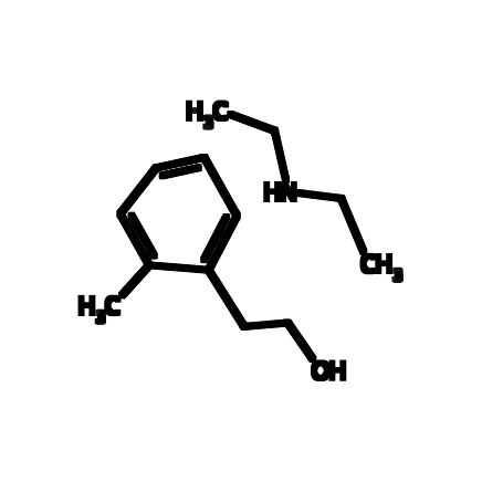 CCNCC.Cc1ccccc1CCO